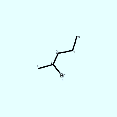 CC[CH]C(C)Br